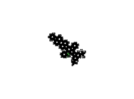 CC(C)(C)c1cc2cc(C(C)(C)C)cc3c2c(c1)c1cc2c(-c4ccccc4F)c4c5ccc6c7ccc8c9c(ccc(c%10ccc(c5c6%10)c4c4c5ccccc5c(c13)c24)c97)-c1ccccc1-8